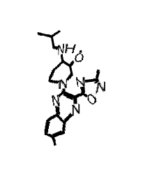 COC1CN(c2nc3ccc(C)cc3nc2-c2nc(C)no2)CCC1NCC(C)C